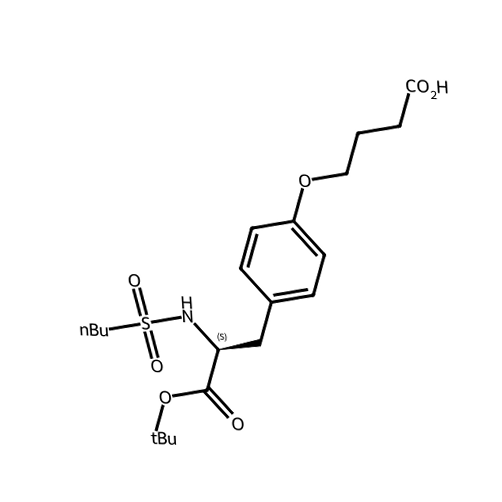 CCCCS(=O)(=O)N[C@@H](Cc1ccc(OCCCC(=O)O)cc1)C(=O)OC(C)(C)C